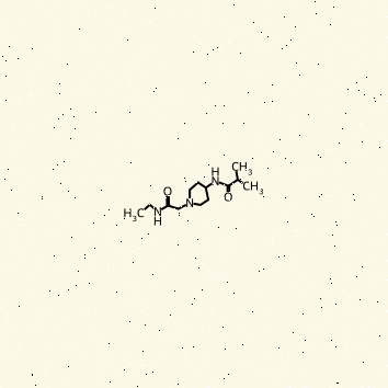 CCNC(=O)CN1CCC(NC(=O)C(C)C)CC1